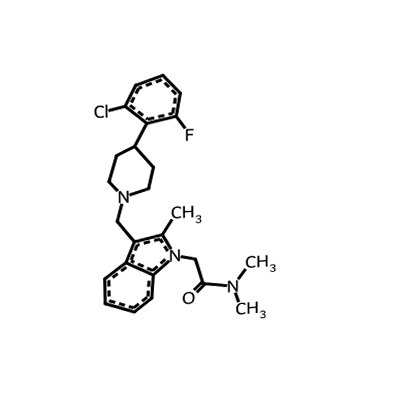 Cc1c(CN2CCC(c3c(F)cccc3Cl)CC2)c2ccccc2n1CC(=O)N(C)C